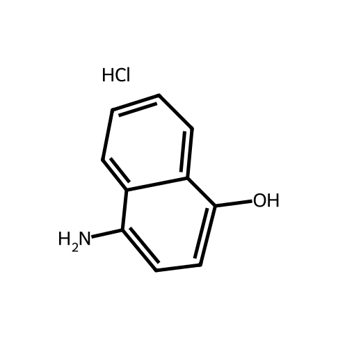 Cl.Nc1ccc(O)c2ccccc12